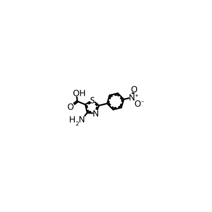 Nc1nc(-c2ccc([N+](=O)[O-])cc2)sc1C(=O)O